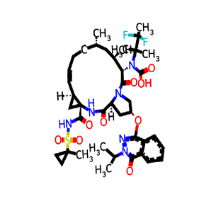 CC(C)n1nc(O[C@@H]2C[C@H]3C(=O)N[C@]4(C(=O)NS(=O)(=O)C5(C)CC5)C[C@H]4C=CCC[C@H](C)C[C@@H](C)[C@H](N(C(=O)O)C(C)(C)C(C)(F)F)C(=O)N3C2)c2ccccc2c1=O